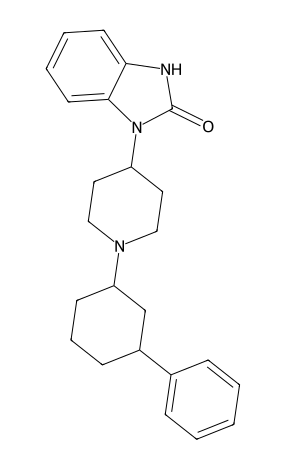 O=c1[nH]c2ccccc2n1C1CCN(C2CCCC(c3ccccc3)C2)CC1